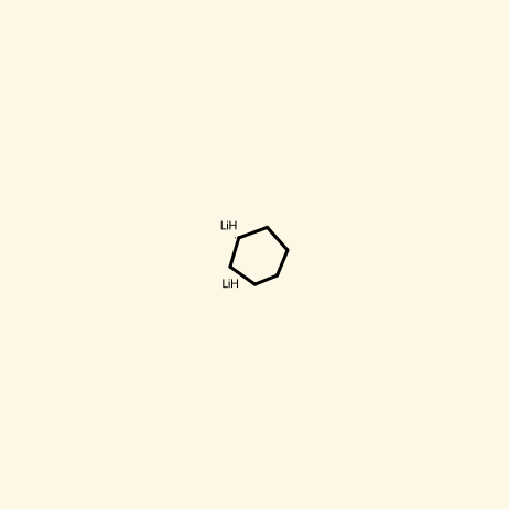 [CH]1CCCCC1.[LiH].[LiH]